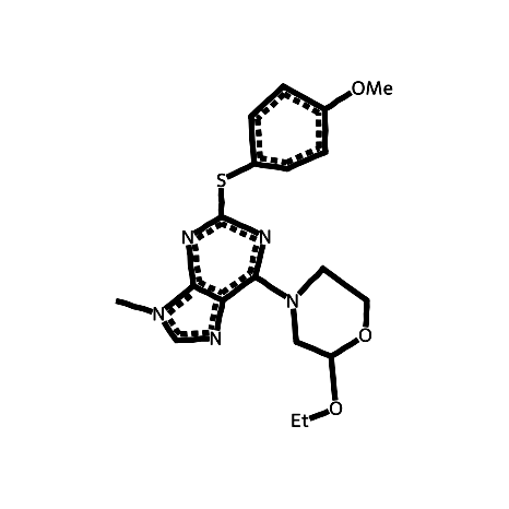 CCOC1CN(c2nc(Sc3ccc(OC)cc3)nc3c2ncn3C)CCO1